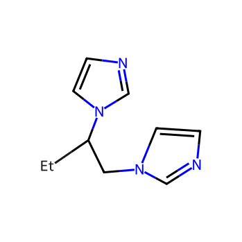 CCC(Cn1ccnc1)n1ccnc1